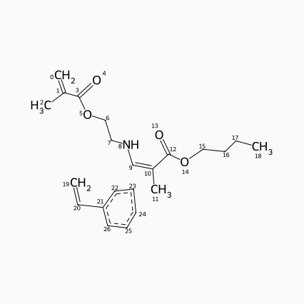 C=C(C)C(=O)OCCNC=C(C)C(=O)OCCCC.C=Cc1ccccc1